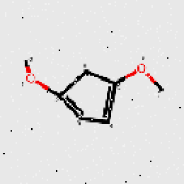 COC1=CC=C(OC)C1